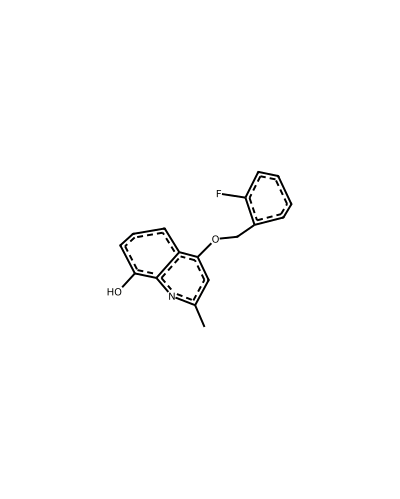 Cc1cc(OCc2ccccc2F)c2cccc(O)c2n1